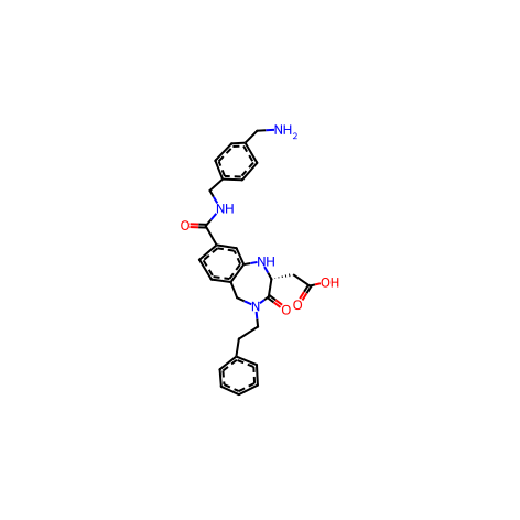 NCc1ccc(CNC(=O)c2ccc3c(c2)N[C@H](CC(=O)O)C(=O)N(CCc2ccccc2)C3)cc1